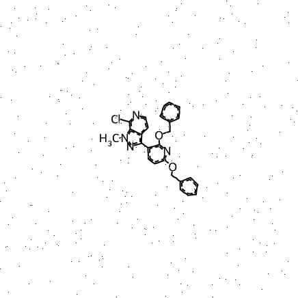 Cn1nc(-c2ccc(OCc3ccccc3)nc2OCc2ccccc2)c2ccnc(Cl)c21